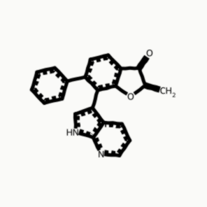 C=C1Oc2c(ccc(-c3ccccc3)c2-c2c[nH]c3ncccc23)C1=O